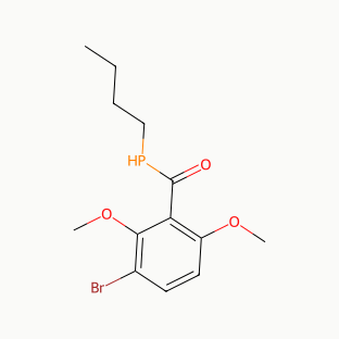 CCCCPC(=O)c1c(OC)ccc(Br)c1OC